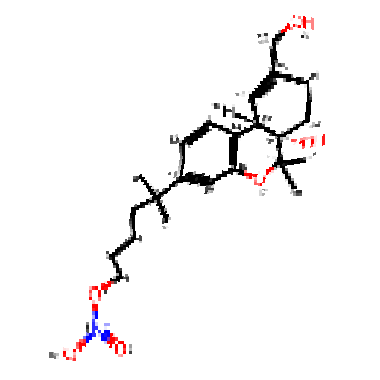 CC(C)(CCCCO[N+](=O)[O-])c1ccc2c(c1)OC(C)(C)[C@]1(O)CCC(CO)=C[C@@H]21